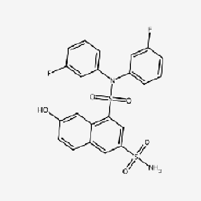 NS(=O)(=O)c1cc(S(=O)(=O)N(c2cccc(F)c2)c2cccc(F)c2)c2cc(O)ccc2c1